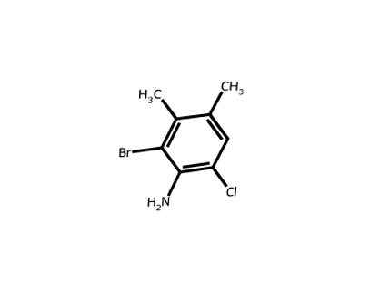 Cc1cc(Cl)c(N)c(Br)c1C